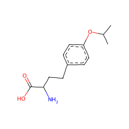 CC(C)Oc1ccc(CCC(N)C(=O)O)cc1